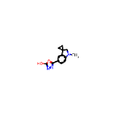 CN1CC2(CC2)c2cc(-c3nnc(O)o3)ccc21